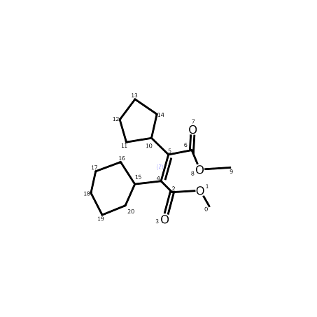 COC(=O)/C(=C(\C(=O)OC)C1CCCC1)C1CCCCC1